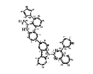 NC1Nc2ccc(-c3ccc4c(c3)c3ccccc3n4-c3nc(-c4ccccc4)c4ccccc4n3)cc2-c2cccc(C3C=CC=C3)c21